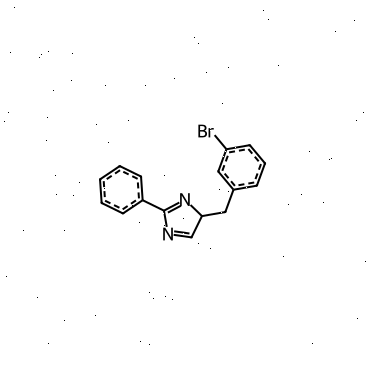 Brc1cccc(CC2C=NC(c3ccccc3)=N2)c1